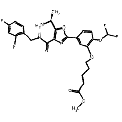 COC(=O)CCCCOc1cc(-c2nc(C(=O)NCc3ccc(F)cc3F)c([C@H](C)N)o2)ccc1OC(F)F